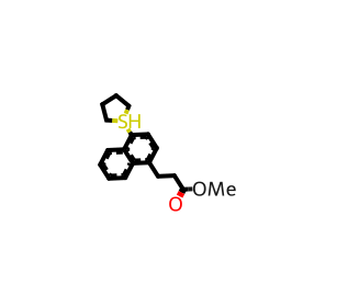 COC(=O)CCc1ccc([SH]2CCCC2)c2ccccc12